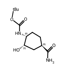 CC(C)(C)OC(=O)N[C@@H]1CC[C@@H](C(N)=O)C[C@@H]1O